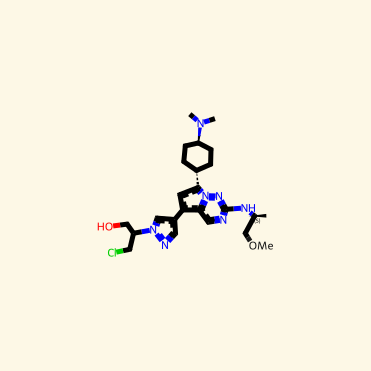 COC[C@H](C)Nc1ncc2c(-c3cnn(C(CO)CCl)c3)cc([C@H]3CC[C@H](N(C)C)CC3)n2n1